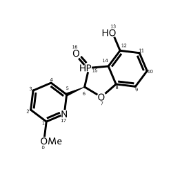 COc1cccc([C@@H]2Oc3cccc(O)c3[PH]2=O)n1